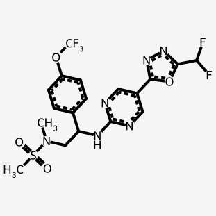 CN(CC(Nc1ncc(-c2nnc(C(F)F)o2)cn1)c1ccc(OC(F)(F)F)cc1)S(C)(=O)=O